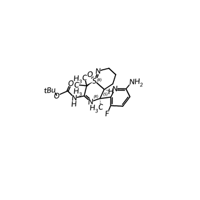 CC(C)(C)OC(=O)NC1=N[C@](C)(c2nc(N)ccc2F)[C@@H]2CCCN=[S@]2(=O)C1(C)C